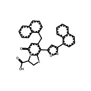 O=C(O)C1CSc2c(-c3cc(-c4cccc5ccccc45)no3)c(Cc3cccc4ccccc34)cc(=O)n21